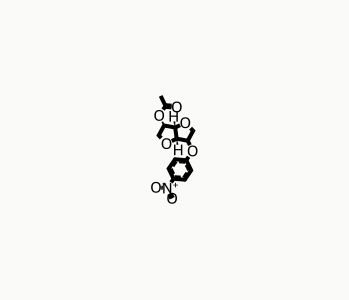 CC(=O)O[C@H]1CO[C@@H]2C(Oc3ccc([N+](=O)[O-])cc3)CO[C@H]12